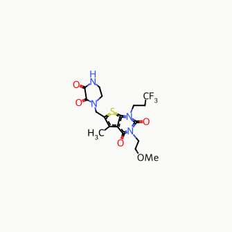 COCCn1c(=O)c2c(C)c(CN3CCNC(=O)C3=O)sc2n(CCC(F)(F)F)c1=O